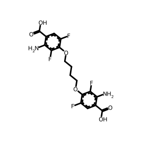 Nc1c(C(=O)O)cc(F)c(OCCCCOc2c(F)cc(C(=O)O)c(N)c2F)c1F